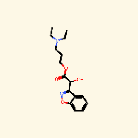 CCN(CC)CCCOC(=O)C(O)c1noc2ccccc12